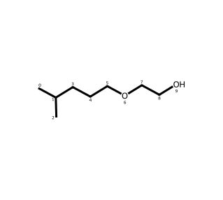 CC(C)CCCOCCO